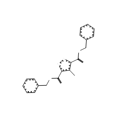 Cc1c(C(=O)OCc2ccccc2)n[nH]c1C(=O)OCc1ccccc1